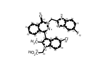 Cc1c(-c2nn(Cc3nc4cc(F)ccc4s3)c(=O)c3ccccc23)c2cc(Cl)ccc2n1CC(=O)O